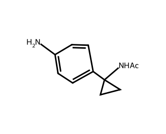 CC(=O)NC1(c2ccc(N)cc2)CC1